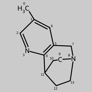 Cc1cnc2c(c1)CN1CCC2CC1